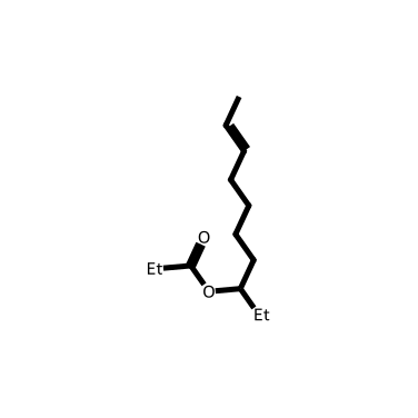 CC=CCCCCC(CC)OC(=O)CC